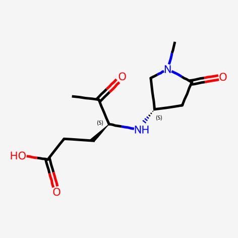 CC(=O)[C@H](CCC(=O)O)N[C@H]1CC(=O)N(C)C1